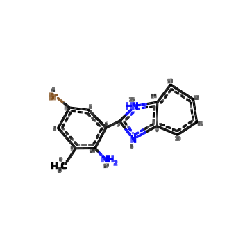 Cc1cc(Br)cc(-c2nc3ccccc3[nH]2)c1N